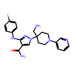 NCC1(n2cc(C(N)=O)c(Nc3ccc(F)cc3)n2)CCN(c2cccnc2)CC1